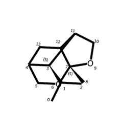 CC(C)[C@H]1C2CO[C@@]3(C)OCC1C3C2